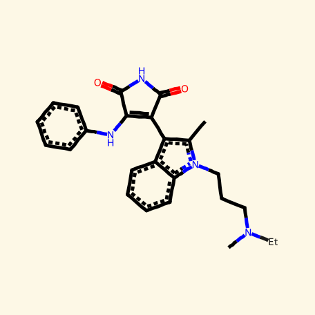 CCN(C)CCCn1c(C)c(C2=C(Nc3ccccc3)C(=O)NC2=O)c2ccccc21